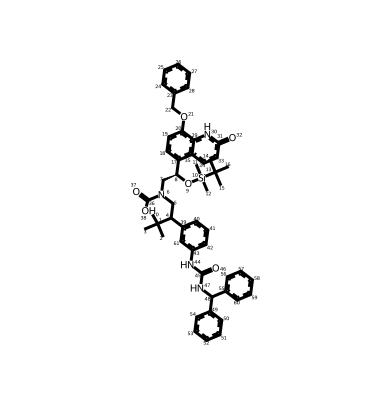 CC(C)(C)C(CN(C[C@H](O[Si](C)(C)C(C)(C)C)c1ccc(OCc2ccccc2)c2[nH]c(=O)ccc12)C(=O)O)c1cccc(NC(=O)NC(c2ccccc2)c2ccccc2)c1